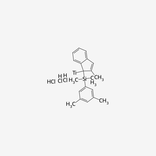 CC1=Cc2ccccc2[C]1([Ti])[Si](C)(C)c1cc(C)cc(C)c1.Cl.Cl.Cl